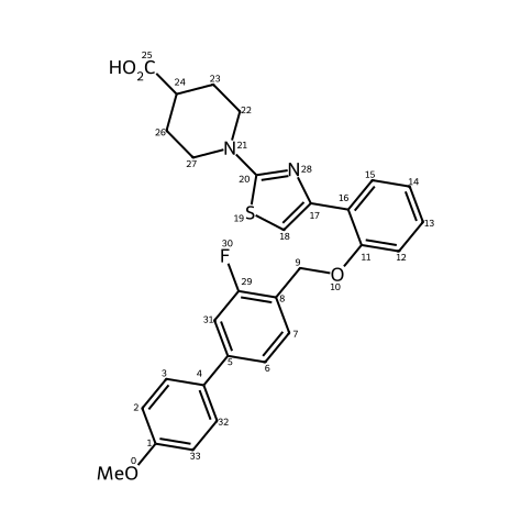 COc1ccc(-c2ccc(COc3ccccc3-c3csc(N4CCC(C(=O)O)CC4)n3)c(F)c2)cc1